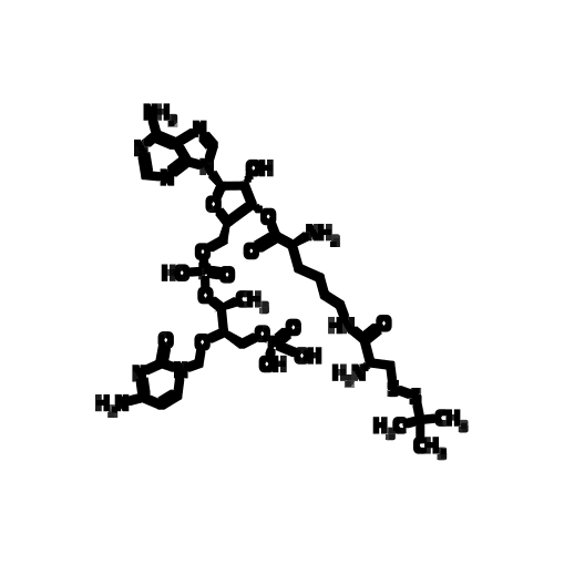 C[C@H](OP(=O)(O)OC[C@H]1O[C@@H](n2cnc3c(N)ncnc32)[C@H](O)[C@@H]1OC(=O)[C@@H](N)CCCCNC(=O)[C@@H](N)CSSC(C)(C)C)[C@@H](COP(=O)(O)O)OCn1ccc(N)nc1=O